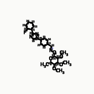 CO[C@@H]1[C@@H](OC)[C@H](C)O[C@@H](O/N=C/c2ccc(-n3cnc(-c4ccccc4F)n3)cc2)[C@@H]1OC